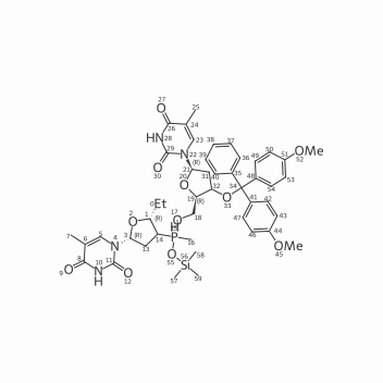 CC[C@H]1O[C@@H](n2cc(C)c(=O)[nH]c2=O)CC1[PH](C)(OC[C@H]1O[C@@H](n2cc(C)c(=O)[nH]c2=O)CC1OC(c1ccccc1)(c1ccc(OC)cc1)c1ccc(OC)cc1)O[Si](C)(C)C